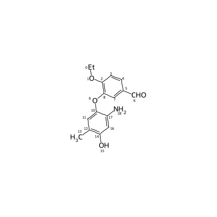 CCOc1ccc(C=O)cc1Oc1cc(C)c(O)cc1N